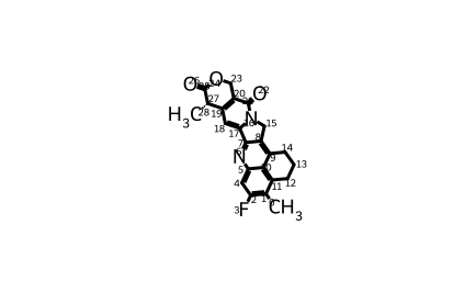 Cc1c(F)cc2nc3c(c4c2c1CCC4)Cn1c-3cc2c(c1=O)COC(=O)[C@H]2C